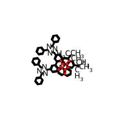 CC(C)(C)c1ccc2c(c1)c1ccccc1n2-c1ccc(-c2nc(-c3ccccc3)nc(-c3ccccc3)n2)cc1-c1cc(-c2nc(-c3ccccc3)nc(-c3ccccc3)n2)ccc1-n1c2ccccc2c2cc(C(C)(C)C)ccc21